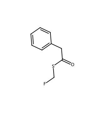 O=C(Cc1ccccc1)SCF